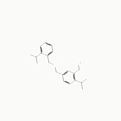 CC(C)c1ccc(COCc2ccccc2C(C)C)cc1CO